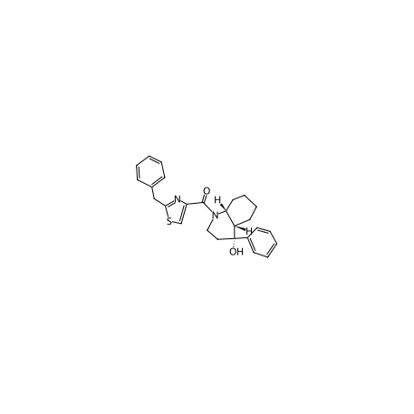 O=C(c1csc(Cc2ccccc2)n1)N1CC[C@](O)(c2ccccc2)[C@H]2CCCC[C@H]21